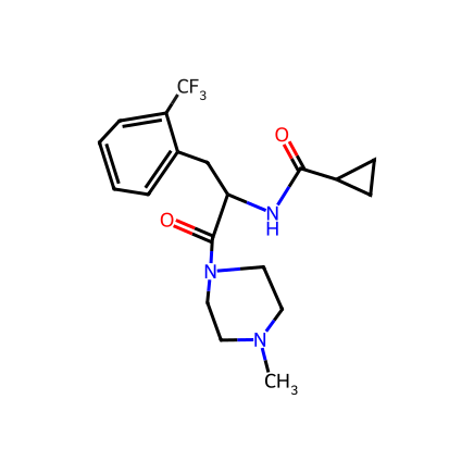 CN1CCN(C(=O)C(Cc2ccccc2C(F)(F)F)NC(=O)C2CC2)CC1